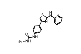 CC(C)NC(=O)Nc1ccc(-c2csc(Nc3ccccn3)n2)cc1